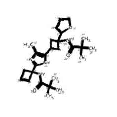 Cc1nc(C2(NC(=O)C(C)(C)C)CCC2)[nH]c1C1CC(NC(=O)C(C)(C)C)(C2CCCO2)C1